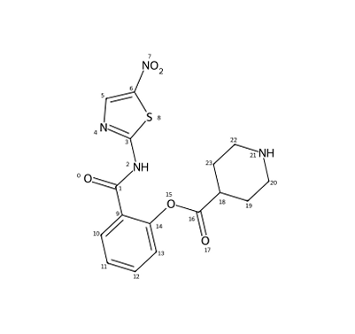 O=C(Nc1ncc([N+](=O)[O-])s1)c1ccccc1OC(=O)C1CCNCC1